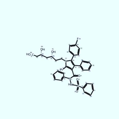 CC(C)c1c(C(=O)N(NS(=O)(=O)c2ccccc2)c2ccccc2)c(-c2ccccc2)c(-c2ccc(F)cc2)n1CC[C@@H](O)C[C@@H](O)CC(=O)O